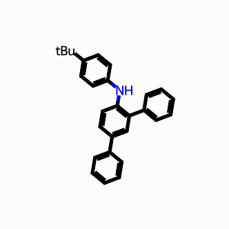 CC(C)(C)c1ccc(Nc2ccc(-c3ccccc3)cc2-c2ccccc2)cc1